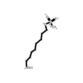 CCCCCCCCCCCCCCCCOS(C)(=O)=S